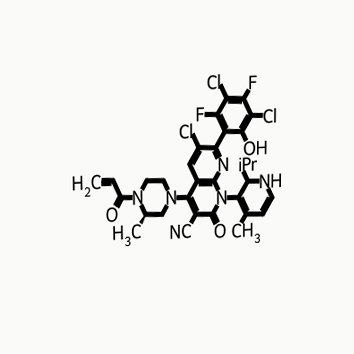 C=CC(=O)N1CCN(c2c(C#N)c(=O)n(C3=C(C)C=CNC3C(C)C)c3nc(-c4c(O)c(Cl)c(F)c(Cl)c4F)c(Cl)cc23)C[C@H]1C